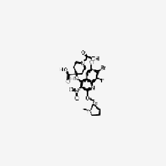 CN1CCC[C@H]1COc1nc2c(F)c(Br)c(Cl)cc2c(NC2(C(=O)O)CCN(C(=O)O)CC2)c1[N+](=O)[O-]